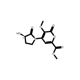 COC(=O)c1cc(N2CC[C@@H](O)C2=O)c(OC)c(=O)o1